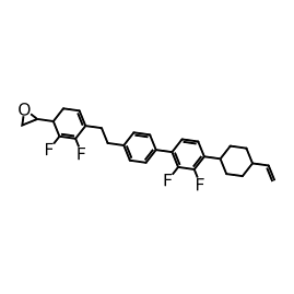 C=CC1CCC(c2ccc(-c3ccc(CCC4=CCC(C5CO5)C(F)=C4F)cc3)c(F)c2F)CC1